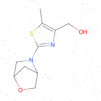 Cc1sc(N2CC3CC2CO3)nc1CO